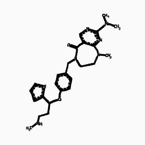 CNCCC(Oc1ccc(CN2CCN(C)c3nc(N(C)C)ncc3C2=O)cc1)c1cccs1